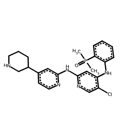 CP(C)(=O)c1ccccc1Nc1cc(Nc2cc(C3CCCNC3)ccn2)ncc1Cl